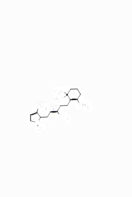 CC1=CC[S+]([O-])C1C/C=C(\C)CCC1=C(C)CCCC1(C)C